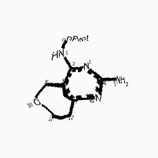 CCCCCNc1nc(N)nc2c1COCC2